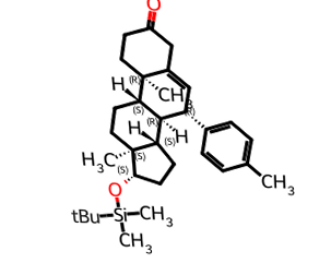 Cc1ccc([C@H]2C=C3CC(=O)CC[C@]3(C)[C@H]3CC[C@]4(C)[C@@H](O[Si](C)(C)C(C)(C)C)CC[C@H]4[C@H]23)cc1